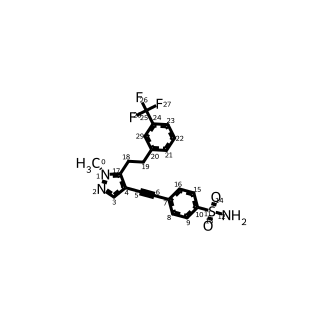 Cn1ncc(C#Cc2ccc(S(N)(=O)=O)cc2)c1CCc1cccc(C(F)(F)F)c1